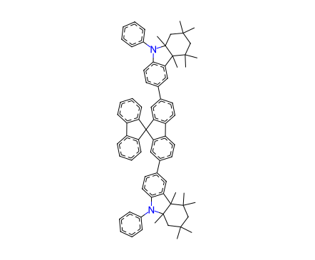 CC1(C)CC(C)(C)C2(C)c3cc(-c4ccc5c(c4)C4(c6ccccc6-c6ccccc64)c4cc(-c6ccc7c(c6)C6(C)C(C)(C)CC(C)(C)CC6(C)N7c6ccccc6)ccc4-5)ccc3N(c3ccccc3)C2(C)C1